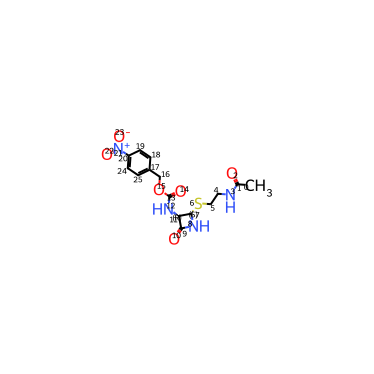 CC(=O)NCCS[C@@H]1NC(=O)[C@H]1NC(=O)OCc1ccc([N+](=O)[O-])cc1